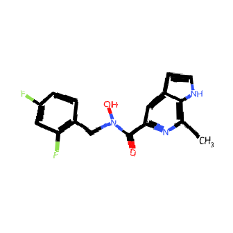 Cc1nc(C(=O)N(O)Cc2ccc(F)cc2F)cc2cc[nH]c12